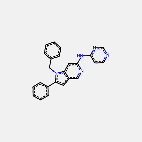 c1ccc(Cn2c(-c3ccccc3)cc3cnc(Nc4ccncn4)cc32)cc1